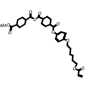 C=CC(=O)OCCCCCCOc1ccc(OC(=O)C2CCC(C(=O)OC(=O)C3CCC(C(=O)OC)CC3)CC2)cc1